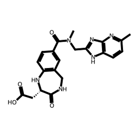 Cc1ccc2[nH]c(CN(C)C(=O)c3ccc4c(c3)CNC(=O)[C@H](CC(=O)O)N4)nc2n1